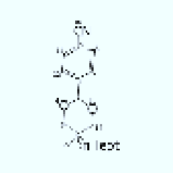 CCCCCCCC1(C)COC(c2ccc(C#N)cc2)OC1